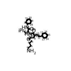 COP(=O)(CCCCN)CC(CCc1ccccc1)C(=O)N[C@@H](CC(C)C)C(=O)Nc1ccccc1